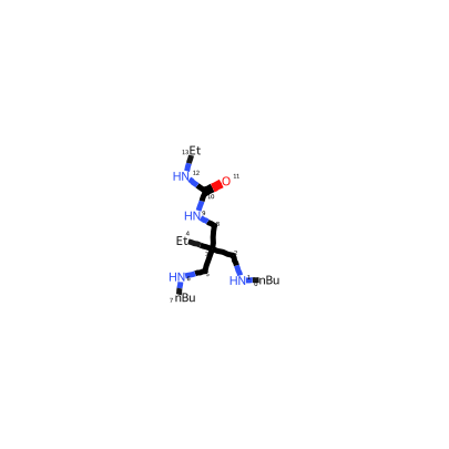 CCCCNCC(CC)(CNCCCC)CNC(=O)NCC